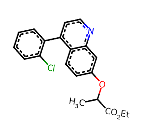 CCOC(=O)C(C)Oc1ccc2c(-c3ccccc3Cl)ccnc2c1